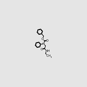 CCNC(=O)CN(C(=O)OCc1ccccc1)c1ccccc1